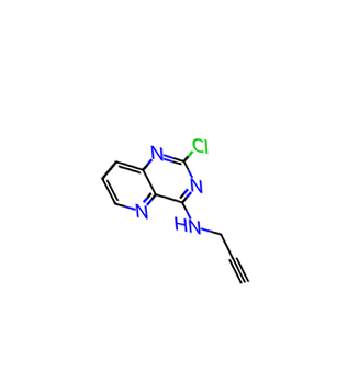 C#CCNc1nc(Cl)nc2cccnc12